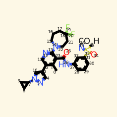 Cc1c(-c2cnn(C3CC3)c2)cnc(N2CCCC(F)(F)CC2)c1C(=O)Nc1cccc(S(C)(=O)=NC(=O)O)c1